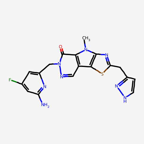 Cn1c2nc(Cc3cc[nH]n3)sc2c2cnn(Cc3cc(F)cc(N)n3)c(=O)c21